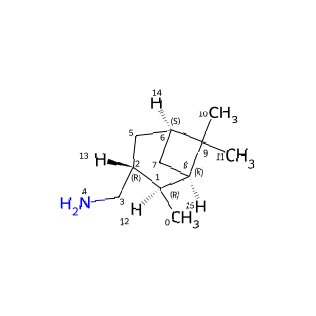 C[C@H]1[C@H](CN)C[C@@H]2C[C@H]1C2(C)C